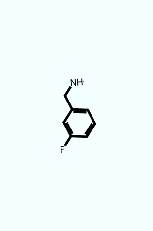 [NH]Cc1cccc(F)c1